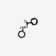 O=C(ONC1CCCCC1)c1ccccc1